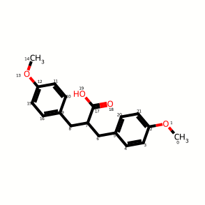 COc1ccc(CC(Cc2ccc(OC)cc2)C(=O)O)cc1